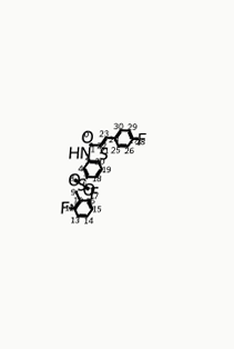 O=C1Nc2cc(S(=O)(=O)Cc3c(F)cccc3F)ccc2SC1=Cc1ccc(F)cc1